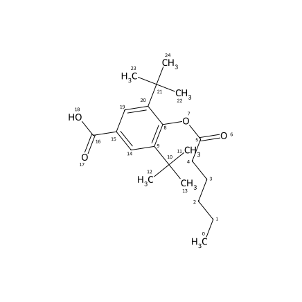 CCCCCC(=O)Oc1c(C(C)(C)C)cc(C(=O)O)cc1C(C)(C)C